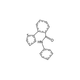 O=C(Nc1ccccc1)c1ccccc1-c1cccs1